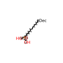 CCCCCCCCCCCCCCCCCCCCCCCCP(=O)(CCO)CCO